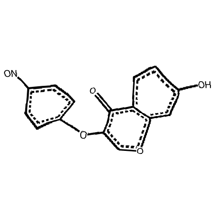 O=Nc1ccc(Oc2coc3cc(O)ccc3c2=O)cc1